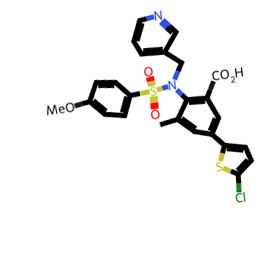 COc1ccc(S(=O)(=O)N(Cc2cccnc2)c2c(C)cc(-c3ccc(Cl)s3)cc2C(=O)O)cc1